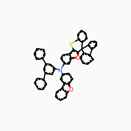 c1ccc(-c2cc(-c3ccccc3)cc(N(c3ccc4c5c(oc4c3)C3(c4ccccc4S5)c4ccccc4-c4ccccc43)c3ccc4oc5ccccc5c4c3)c2)cc1